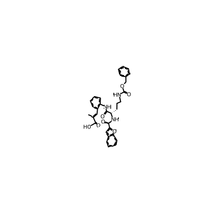 C/C(=C\c1ccccc1NC(=O)[C@H](CCCNC(=O)OCc1ccccc1)NC(=O)c1cc2ccccc2o1)C(=O)O